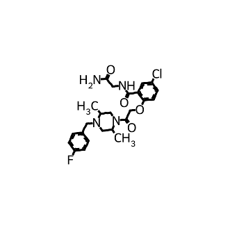 CC1CN(C(=O)COc2ccc(Cl)cc2C(=O)NCC(N)=O)C(C)CN1Cc1ccc(F)cc1